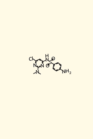 CN(C)c1nc(Cl)cc(NS(=O)(=O)c2ccc(N)cc2)n1